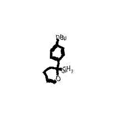 CCCCc1ccc(C2([SiH3])CCCCO2)cc1